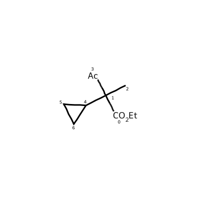 CCOC(=O)C(C)(C(C)=O)C1CC1